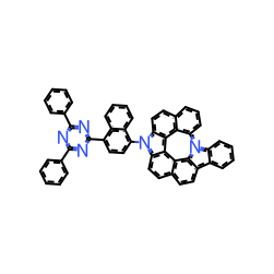 c1ccc(-c2nc(-c3ccccc3)nc(-c3ccc(-n4c5ccc6cccc7c6c5c5c6c(ccc8c9ccccc9n7c86)ccc54)c4ccccc34)n2)cc1